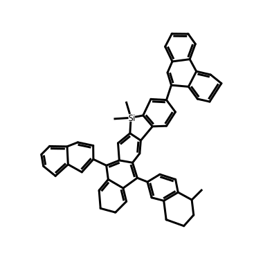 CC1CCCc2cc(-c3c4c(c(-c5ccc6ccccc6c5)c5cc6c(cc35)-c3ccc(-c5cc7ccccc7c7ccccc57)cc3[Si]6(C)C)=CCCC=4)ccc21